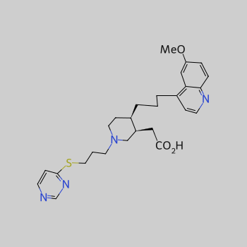 COc1ccc2nccc(CCC[C@@H]3CCN(CCCSc4ccncn4)C[C@@H]3CC(=O)O)c2c1